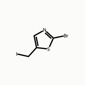 Brc1ncc(CI)s1